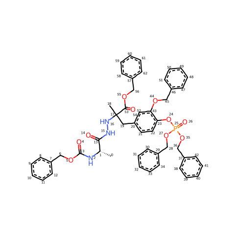 C[C@H](NC(=O)OCc1ccccc1)C(=O)NNC(C)(Cc1ccc(OP(=O)(OCc2ccccc2)OCc2ccccc2)c(OCc2ccccc2)c1)C(=O)OCc1ccccc1